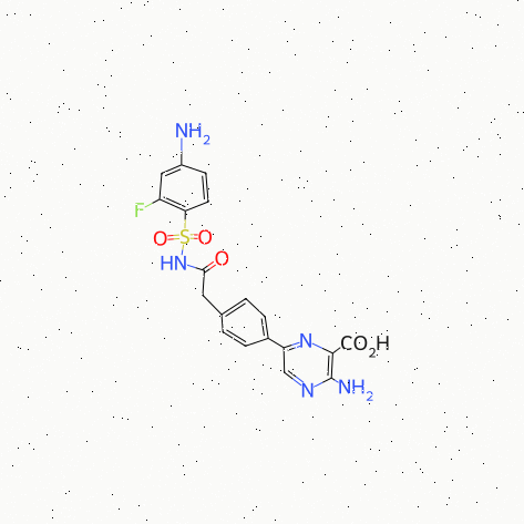 Nc1ccc(S(=O)(=O)NC(=O)Cc2ccc(-c3cnc(N)c(C(=O)O)n3)cc2)c(F)c1